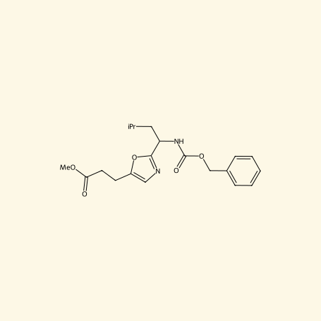 COC(=O)CCc1cnc(C(CC(C)C)NC(=O)OCc2ccccc2)o1